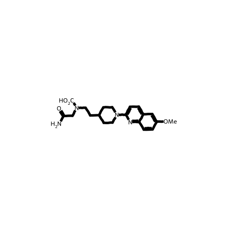 COc1ccc2nc(N3CCC(CCN(CC(N)=O)C(=O)O)CC3)ccc2c1